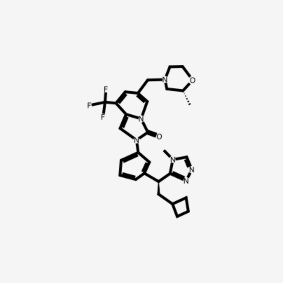 C[C@@H]1CN(Cc2cc(C(F)(F)F)c3cn(-c4cccc([C@H](CC5CCC5)c5nncn5C)c4)c(=O)n3c2)CCO1